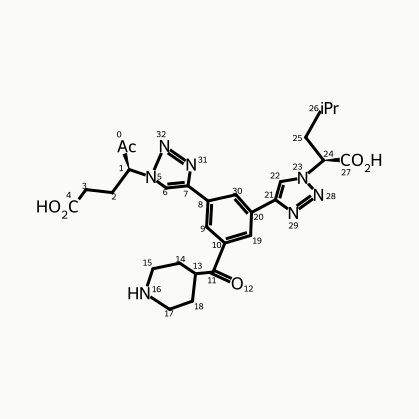 CC(=O)[C@H](CCC(=O)O)n1cc(-c2cc(C(=O)C3CCNCC3)cc(-c3cn([C@@H](CC(C)C)C(=O)O)nn3)c2)nn1